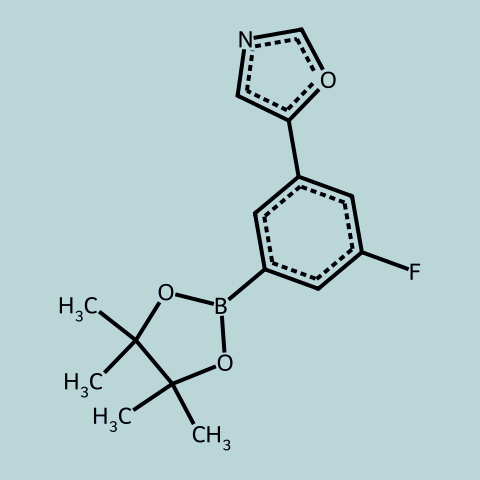 CC1(C)OB(c2cc(F)cc(-c3cnco3)c2)OC1(C)C